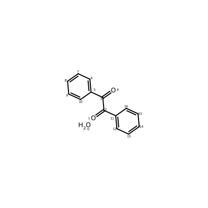 O.O=C(C(=O)c1ccccc1)c1ccccc1